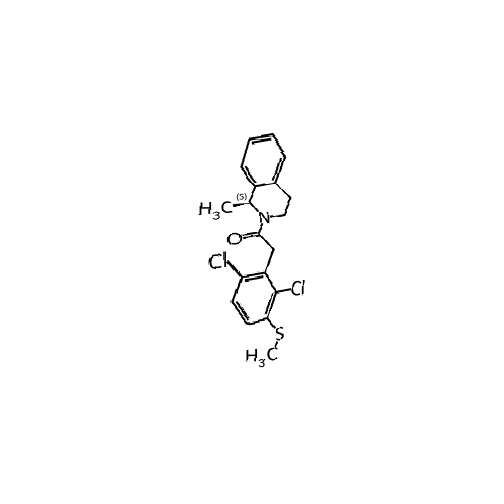 CSc1ccc(Cl)c(CC(=O)N2CCc3ccccc3[C@@H]2C)c1Cl